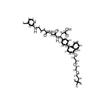 Cc1ccnc(NCCCC(=O)NCC(=O)N[C@@H](CC(=O)O)c2ccc(-c3ccc(OCCOCCOCCC(C)(C)C)c4ccccc34)cc2)c1